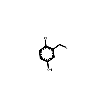 Oc1ccc(Cl)c(CCl)c1